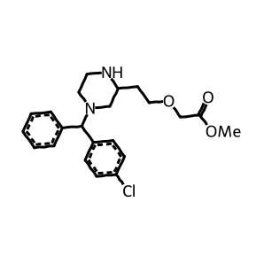 COC(=O)COCCC1CN(C(c2ccccc2)c2ccc(Cl)cc2)CCN1